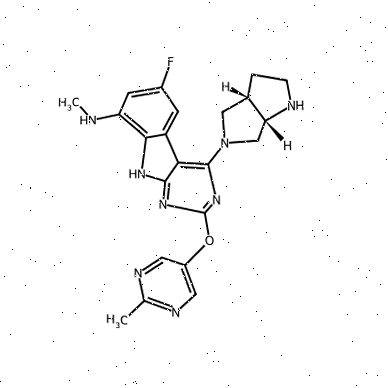 CNc1cc(F)cc2c1[nH]c1nc(Oc3cnc(C)nc3)nc(N3C[C@@H]4CCN[C@@H]4C3)c12